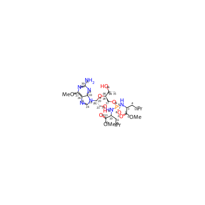 COC(=O)C(CC(C)C)NP(=O)(NC(CC(C)C)C(=O)OC)OC[C@@H](O[C@H](CO)n1cnc2c(OC)nc(N)nc21)[C@@H](C)O